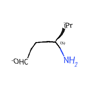 CC(C)[C@@H](N)C[C]=O